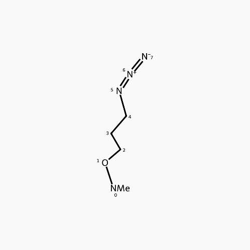 CNOCCCN=[N+]=[N-]